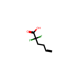 C=CCCC(F)(F)C(=O)O